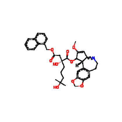 COC1=CC23CCCN2CCc2cc4c(cc2[C@@H]3C1OC(=O)[C@@](O)(CCCC(C)(C)O)CC(=O)OCc1cccc2ccccc12)OCO4